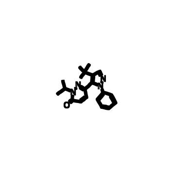 CC(C)n1nc(-c2c(C(C)(C)C)cnn2-c2ccccc2)ccc1=O